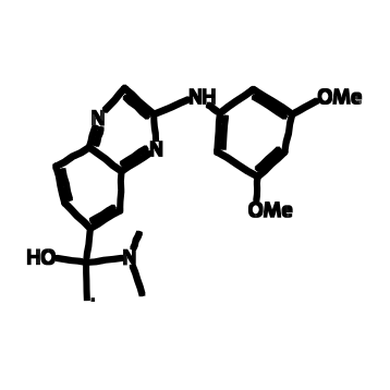 [CH2]C(O)(c1ccc2ncc(Nc3cc(OC)cc(OC)c3)nc2c1)N(C)C